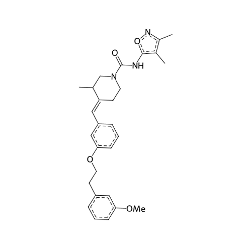 COc1cccc(CCOc2cccc(C=C3CCN(C(=O)Nc4onc(C)c4C)CC3C)c2)c1